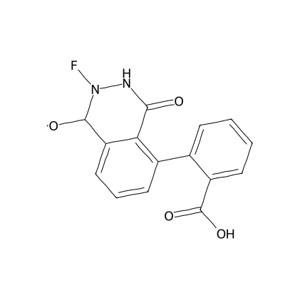 [O]C1c2cccc(-c3ccccc3C(=O)O)c2C(=O)NN1F